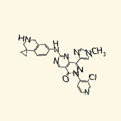 Cn1cnc(-c2nn(-c3ccncc3Cl)c(=O)c3cnc(Nc4ccc5c(c4)CNCC54CC4)nc23)c1